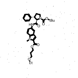 CCOCCCOC(=O)c1cc2cc(NC(=O)[C@H]3[C@H](c4ccccc4)CCN3C(=O)OC(C)(C)C)ccc2n1C